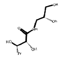 CC(C)[C@H](O)[C@@H](O)C(=O)NC[C@@H](O)CO